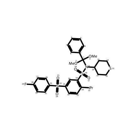 COC(OC)(c1ccccc1)N(C1CCSCC1)S(=O)(=O)c1cc(S(=O)(=O)c2ccc(F)cc2)ccc1C(C)C